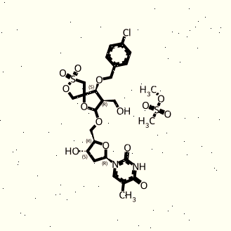 COS(C)(=O)=O.Cc1cn([C@H]2C[C@H](O)[C@@H](COC3OC4(COS(=O)(=O)C4)[C@@H](OCc4ccc(Cl)cc4)[C@H]3CO)O2)c(=O)[nH]c1=O